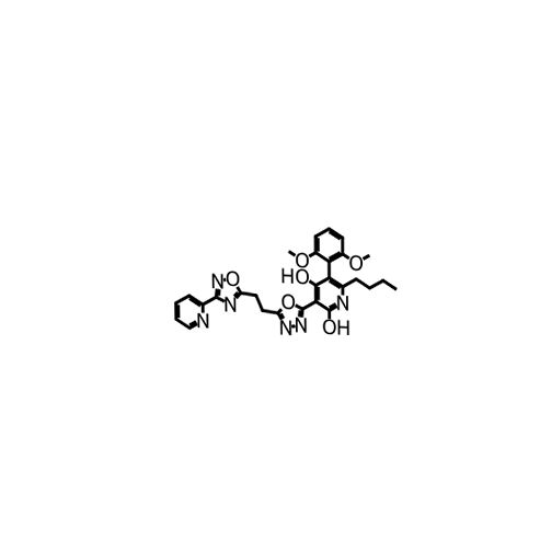 CCCCc1nc(O)c(-c2nnc(CCc3nc(-c4ccccn4)no3)o2)c(O)c1-c1c(OC)cccc1OC